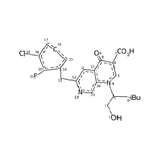 CCC(C)C(CO)n1cc(C(=O)O)c(=O)c2cc(Cc3cccc(Cl)c3F)ncc21